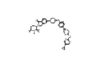 O=C1CCC(N2Cc3cc(C4CCN(Cc5ccc(N6CCC(Oc7ncc(C8CC8)cn7)CC6)cn5)CC4)ccc3C2=O)C(=O)N1